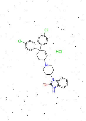 Cl.O=c1[nH]c2ccccc2n1C1CCN(C2C=CC(c3ccc(Cl)cc3)(c3ccc(Cl)cc3)CC2)CC1